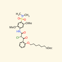 CCCCCCCCCCCCCCCCOc1ccccc1C(=O)C(Cl)C(=O)Nc1cc(OC)c(S(=O)(=O)N(C)C)cc1OC